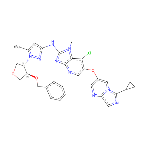 Cn1c(Nc2cc(C(C)(C)C)n([C@H]3COC[C@@H]3OCc3ccccc3)n2)nc2ncc(Oc3cnc4cnc(C5CC5)n4c3)c(Cl)c21